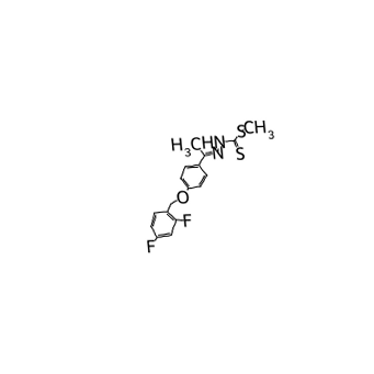 CSC(=S)N/N=C(\C)c1ccc(OCc2ccc(F)cc2F)cc1